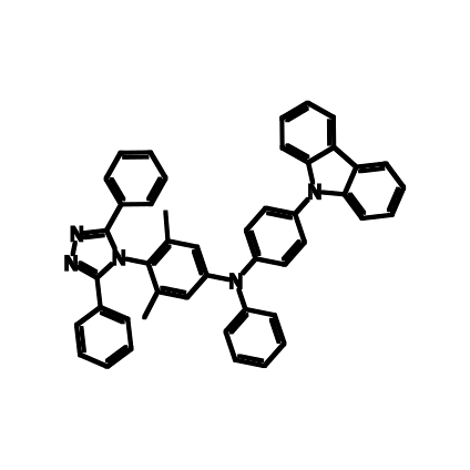 Cc1cc(N(c2ccccc2)c2ccc(-n3c4ccccc4c4ccccc43)cc2)cc(C)c1-n1c(-c2ccccc2)nnc1-c1ccccc1